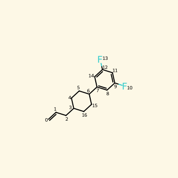 C=CCC1CCC(c2cc(F)cc(F)c2)CC1